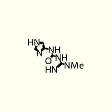 CNC(=N)NC(=O)Nc1c[nH]cn1